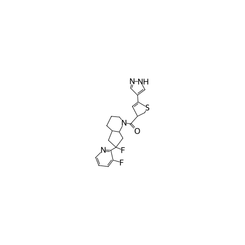 O=C(C1C=C(c2cn[nH]c2)SC1)N1CCCC2CC(F)(c3ncccc3F)CC21